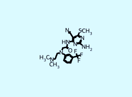 CSc1nc(N)nc(NC(=O)CN(CCN(C)C)c2cccc(C(F)(F)F)c2)c1C#N